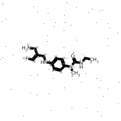 CCNC(=O)N(C)c1ccc(NCC(=CF)CN)cc1